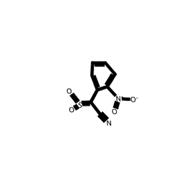 N#CC(c1ccccc1[N+](=O)[O-])=S(=O)=O